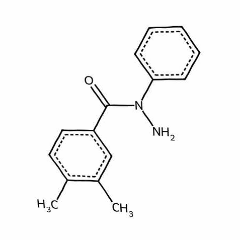 Cc1ccc(C(=O)N(N)c2ccccc2)cc1C